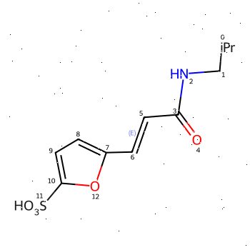 CC(C)CNC(=O)/C=C/c1ccc(S(=O)(=O)O)o1